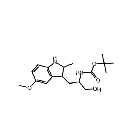 COc1ccc2c(c1)C(C[C@H](CO)NC(=O)OC(C)(C)C)C(C)N2